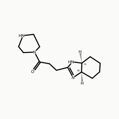 O=C(CCC1=N[C@@H]2CCCC[C@@H]2N1)N1CCNCC1